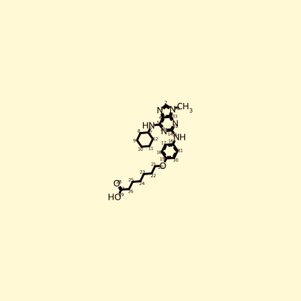 Cn1cnc2c(NC3CCCCC3)nc(Nc3ccc(OCCCCCCC(=O)O)cc3)nc21